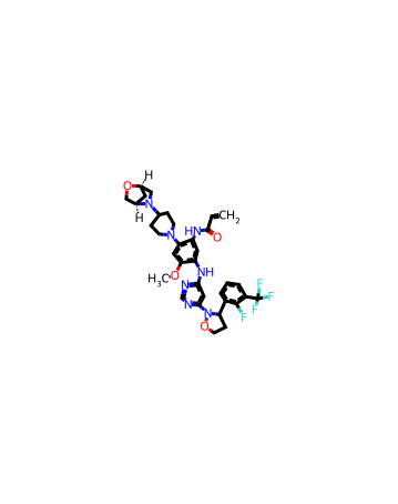 C=CC(=O)Nc1cc(Nc2cc(N3OCCC3c3cccc(C(F)(F)F)c3F)ncn2)c(OC)cc1N1CCC(N2C[C@H]3C[C@@H]2CO3)CC1